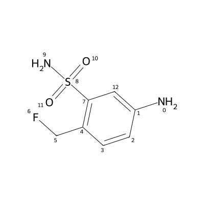 Nc1ccc(CF)c(S(N)(=O)=O)c1